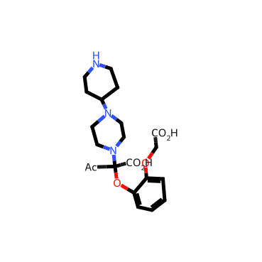 CC(=O)C(Oc1ccccc1OCC(=O)O)(C(=O)O)N1CCN(C2CCNCC2)CC1